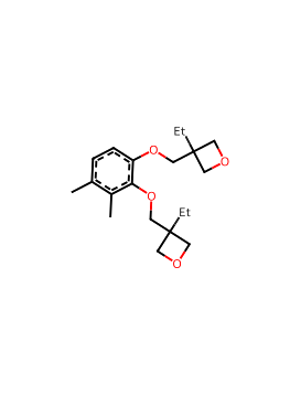 CCC1(COc2ccc(C)c(C)c2OCC2(CC)COC2)COC1